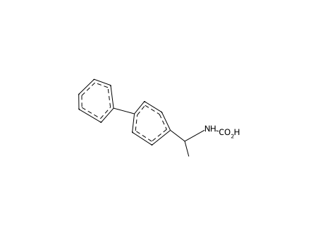 CC(NC(=O)O)c1ccc(-c2ccccc2)cc1